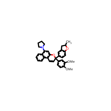 COc1ccc(C2(c3ccc4c(c3)CC(C)O4)C=Cc3c(cc(N4CCCC4)c4ccccc34)O2)cc1OC